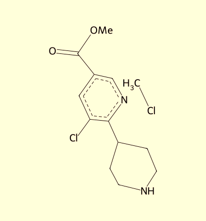 CCl.COC(=O)c1cnc(C2CCNCC2)c(Cl)c1